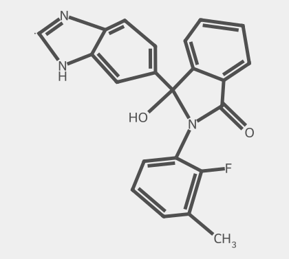 Cc1cccc(N2C(=O)c3ccccc3C2(O)c2ccc3n[c][nH]c3c2)c1F